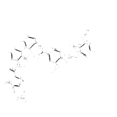 COc1cc(C(=O)Nc2cccc(-c3cccc(NC(=O)c4nc5c(n4C)CCN(C)C5)c3Cl)c2C)ncc1CNCc1nccc(OC)c1Cl